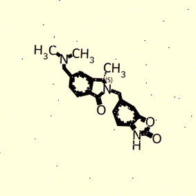 C[C@H]1c2cc(CN(C)C)ccc2C(=O)N1Cc1ccc2[nH]c(=O)oc2c1